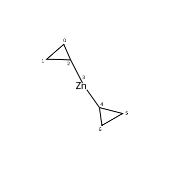 C1C[CH]1[Zn][CH]1CC1